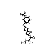 CC[C@H](CO)C(=O)N1CC2(CC(Cc3cccc(C(F)F)c3)C2)C1